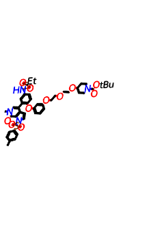 CCS(=O)(=O)Nc1ccc(Oc2cccc(OCCOCCOC3CCN(C(=O)OC(C)(C)C)CC3)c2)c(-c2cn(C)c(=O)c3c2ccn3S(=O)(=O)c2ccc(C)cc2)c1